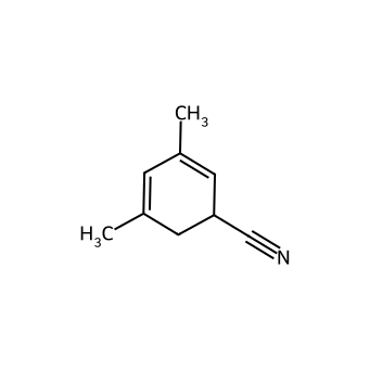 CC1=CC(C#N)CC(C)=C1